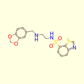 O=S(=O)(NCCNCc1ccc2c(c1)OCO2)c1cccc2ncsc12